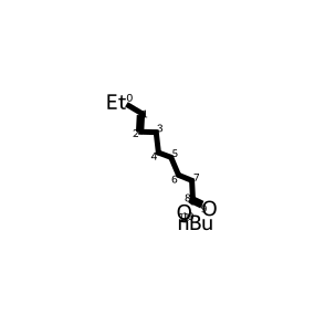 CCC=CCCCCCC(=O)OCCCC